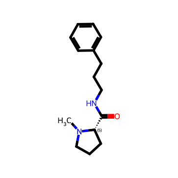 CN1CCC[C@H]1C(=O)NCCCc1ccccc1